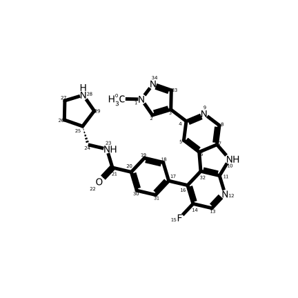 Cn1cc(-c2cc3c(cn2)[nH]c2ncc(F)c(-c4ccc(C(=O)NC[C@@H]5CCNC5)cc4)c23)cn1